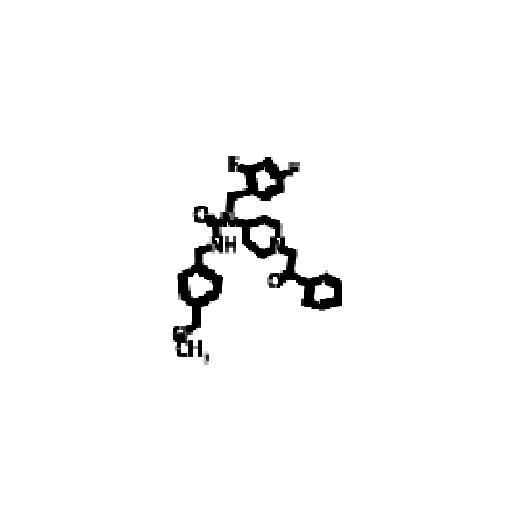 COCc1ccc(CNC(=O)N(Cc2ccc(F)cc2F)C2CCN(CC(=O)c3ccccc3)CC2)cc1